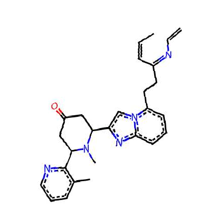 C=C/N=C(\C=C/C)CCc1cccc2nc(C3CC(=O)CC(c4ncccc4C)N3C)cn12